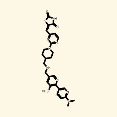 CN(C)c1ccc(-c2ncc(CNCC3CCN(c4nccc(/C=C5/SC(=O)NC5=O)n4)CC3)cc2C(=O)O)cn1